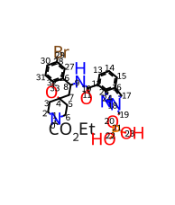 CCOC(=O)N1CCC2(CC1)CC(NC(=O)c1cccc3cn(COP(O)O)nc13)c1cc(Br)ccc1O2